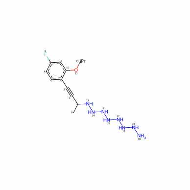 CC(C#Cc1ccc(F)cc1OC(C)C)NNNNNNNN